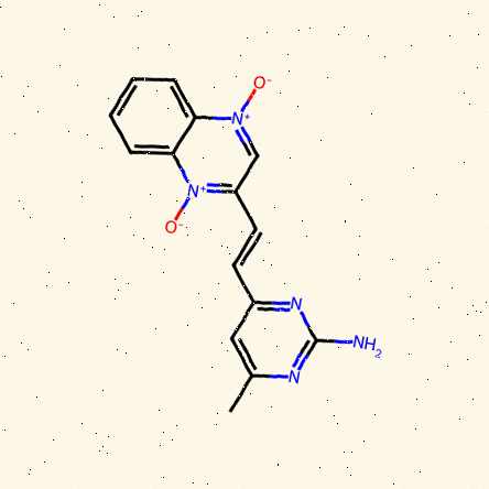 Cc1cc(C=Cc2c[n+]([O-])c3ccccc3[n+]2[O-])nc(N)n1